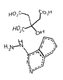 NNc1nncc2ccccc12.O=C(O)CC(O)(CC(=O)O)C(=O)O